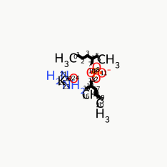 CCCCC(CC)COP(=O)([O-])OCC(CC)CCCC.NC(N)=O.[K+]